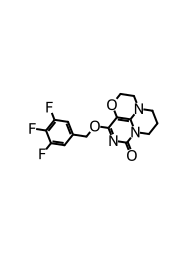 O=c1nc(OCc2cc(F)c(F)c(F)c2)c2c3n1CCCN3CCO2